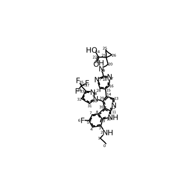 CCNc1cc(F)cc2c1[nH]c1ncc(-c3cnc(NCC4(C(=O)O)CC4)nc3)c(-n3ccc(C(F)(F)F)n3)c12